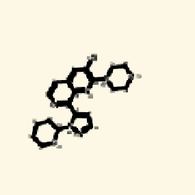 Clc1cc2ccnc(-c3ccnn3C3CCCCO3)c2nc1N1CCOCC1